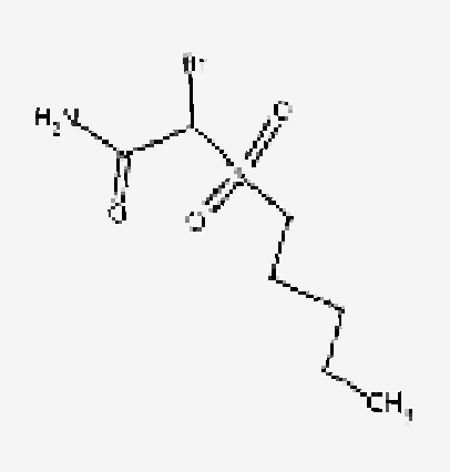 CCCCCS(=O)(=O)C(Br)C(N)=O